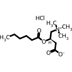 CCCCCC(=O)O[C@H](CC(=O)[O-])C[N+](C)(C)C.Cl